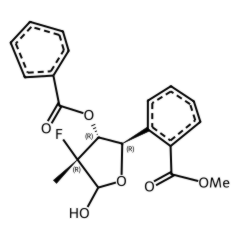 COC(=O)c1ccccc1[C@H]1OC(O)[C@](C)(F)[C@@H]1OC(=O)c1ccccc1